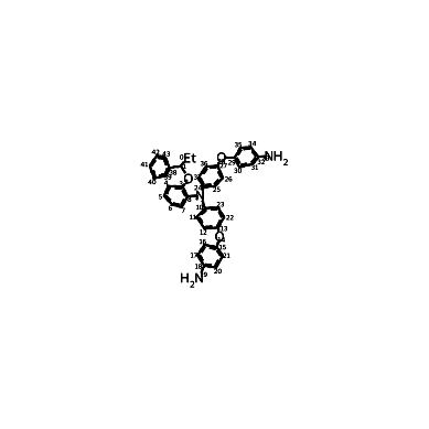 CCC(Oc1ccccc1N(c1ccc(Oc2ccc(N)cc2)cc1)c1ccc(Oc2ccc(N)cc2)cc1)c1ccccc1